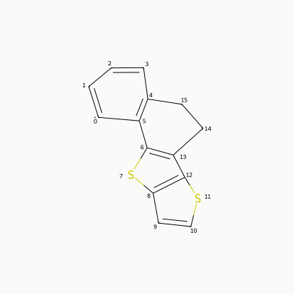 [c]1cccc2c1-c1sc3ccsc3c1CC2